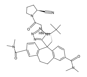 CN(C)C(=O)c1ccc2c(c1)CCc1cc(C(=O)N(C)C)ccc1C2(C[C@H](NCC(=O)N1CCC[C@H]1C#N)C(C)(C)C)c1nnn[nH]1